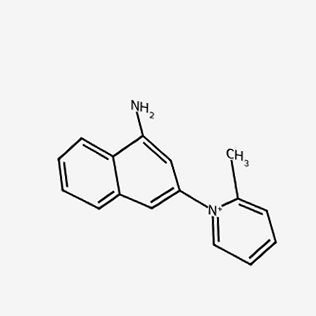 Cc1cccc[n+]1-c1cc(N)c2ccccc2c1